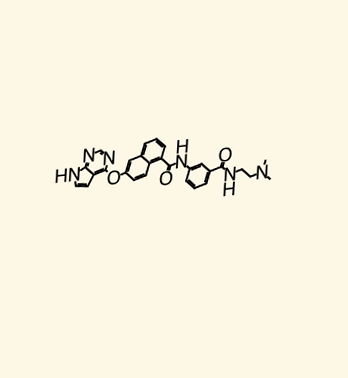 CN(C)CCNC(=O)c1cccc(NC(=O)c2cccc3cc(Oc4ncnc5[nH]ccc45)ccc23)c1